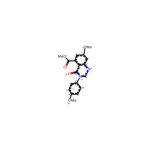 COC(=O)c1cc(OC)cc2ncn(-c3ccc(OC)cc3)c(=O)c12